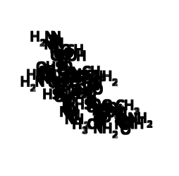 Cc1cn([C@H]2C[C@@H](OP(=O)(S)OC[C@H]3O[C@@H](n4cc(C)c(N)nc4=O)C[C@H]3OP(=O)(S)OC[C@H]3O[C@@H](n4cnc5c(N)ncnc54)C[C@H]3OP(=O)(S)OC[C@H]3O[C@@H](n4cnc5c(=O)[nH]c(N)nc54)C[C@H]3OP(=O)(S)OC[C@H]3O[C@@H](n4cc(C)c(=O)[nH]c4=O)C[C@H]3OP(=O)(S)OC[C@H]3O[C@@H](n4cnc5c(N)ncnc54)C[C@H]3OP(=O)(O)S)[C@@H](COP(=O)(S)O[C@@H]3C[C@H](n4cnc5c(=O)[nH]c(N)nc54)O[C@@H]3C)O2)c(=O)nc1N